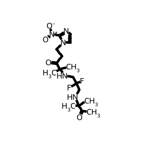 CC(=O)C(C)(C)NCC(F)(F)CNC(C)(C)C(=O)CCn1ccnc1[N+](=O)[O-]